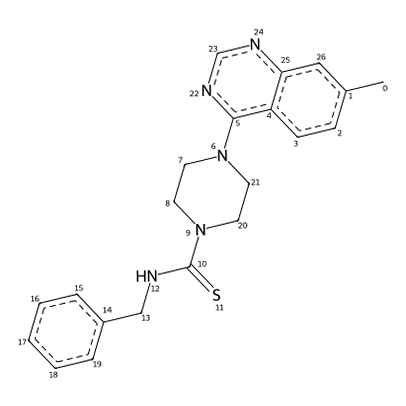 Cc1ccc2c(N3CCN(C(=S)NCc4ccccc4)CC3)ncnc2c1